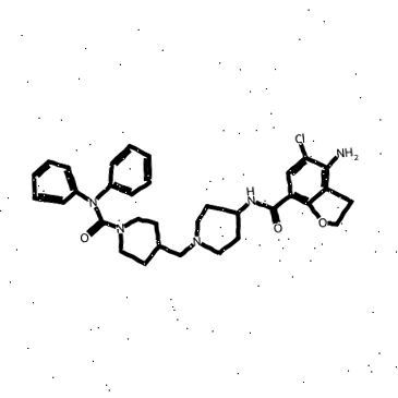 Nc1c(Cl)cc(C(=O)NC2CCN(CC3CCN(C(=O)N(c4ccccc4)c4ccccc4)CC3)CC2)c2c1CCO2